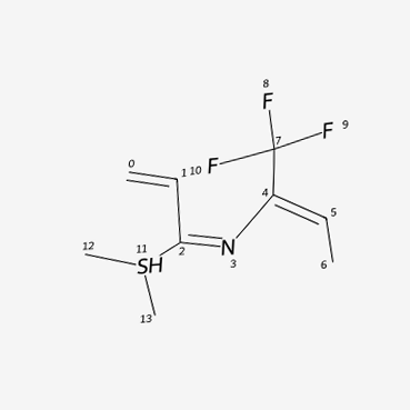 C=C/C(=N\C(=C/C)C(F)(F)F)[SH](C)C